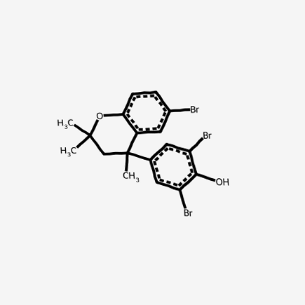 CC1(C)CC(C)(c2cc(Br)c(O)c(Br)c2)c2cc(Br)ccc2O1